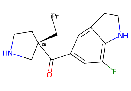 CC(C)C[C@]1(C(=O)c2cc(F)c3c(c2)CCN3)CCNC1